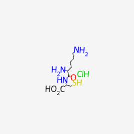 Cl.NCCCCC(N)C(=O)NC(CS)C(=O)O